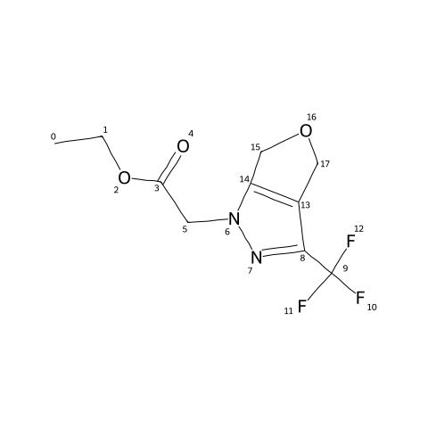 CCOC(=O)Cn1nc(C(F)(F)F)c2c1COC2